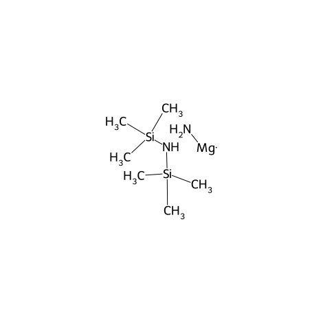 C[Si](C)(C)N[Si](C)(C)C.[NH2][Mg]